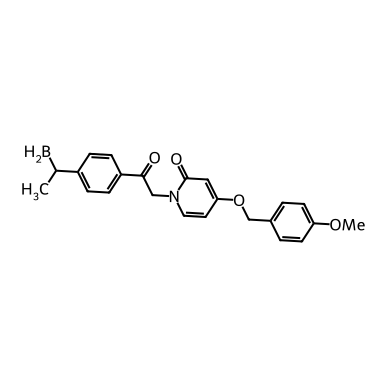 BC(C)c1ccc(C(=O)Cn2ccc(OCc3ccc(OC)cc3)cc2=O)cc1